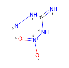 [N]NC(=N)N[N+](=O)[O-]